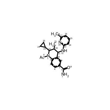 CC(=O)N1c2ccc(C(N)=O)cc2C(Nc2cccc(C)n2)C(C)C1C1CC1